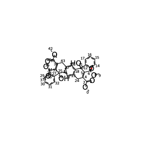 COC(=O)C1=C(C(=O)OC)C(O)(c2ccccc2)c2cc3c(cc2C1)C(O)(c1ccccc1)C(C(=O)OC)=C(C(=O)OC)C3